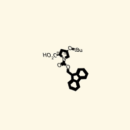 CC(C)(C)O[C@H]1C[C@H](C(=O)O)N(C(=O)OCC2c3ccccc3-c3ccccc32)C1